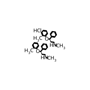 CNCC[C@@H](Oc1ccccc1C)c1ccccc1.CNCC[C@@H](Oc1ccccc1C)c1ccccc1.Cl